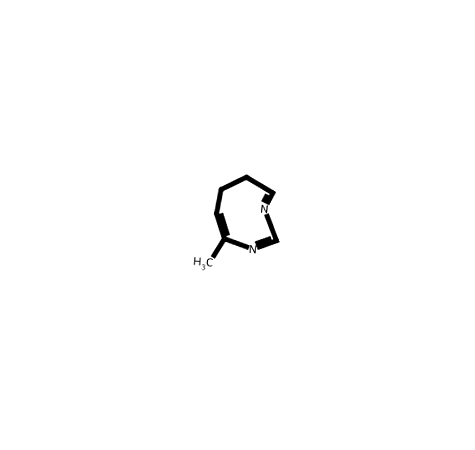 CC1=C/CC/C=N/C=N\1